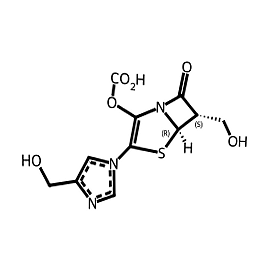 O=C(O)OC1=C(n2cnc(CO)c2)S[C@@H]2[C@@H](CO)C(=O)N12